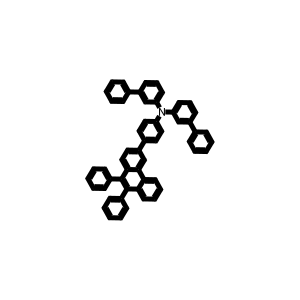 c1ccc(-c2cccc(N(c3ccc(-c4ccc5c(-c6ccccc6)c(-c6ccccc6)c6ccccc6c5c4)cc3)c3cccc(-c4ccccc4)c3)c2)cc1